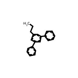 [CH2]CCc1cc(-c2ccccc2)cc(-c2ccccc2)c1